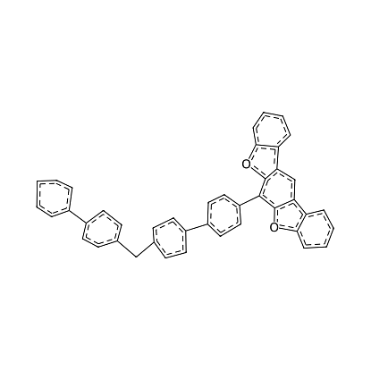 c1ccc(-c2ccc(Cc3ccc(-c4ccc(-c5c6oc7ccccc7c6cc6c5oc5ccccc56)cc4)cc3)cc2)cc1